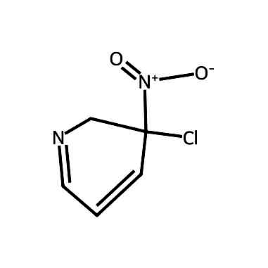 O=[N+]([O-])C1(Cl)C=CC=NC1